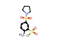 Cc1ccc(S(=O)(=O)N2CCCC2)cc1S(=O)(=O)Cl